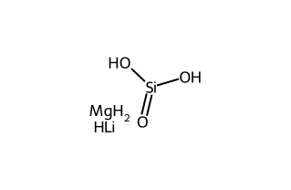 O=[Si](O)O.[LiH].[MgH2]